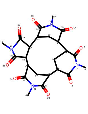 CN1C(=O)C2CC(C1=O)C1CC(C(=O)N(C)C1=O)C1C(=O)N(C)C(=O)C1C1CC2C(=O)N(C)C1=O